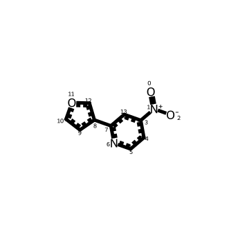 O=[N+]([O-])c1ccnc(-c2ccoc2)c1